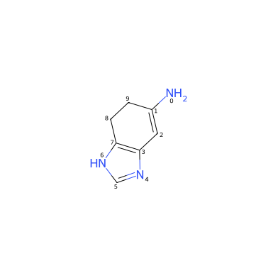 NC1=Cc2nc[nH]c2CC1